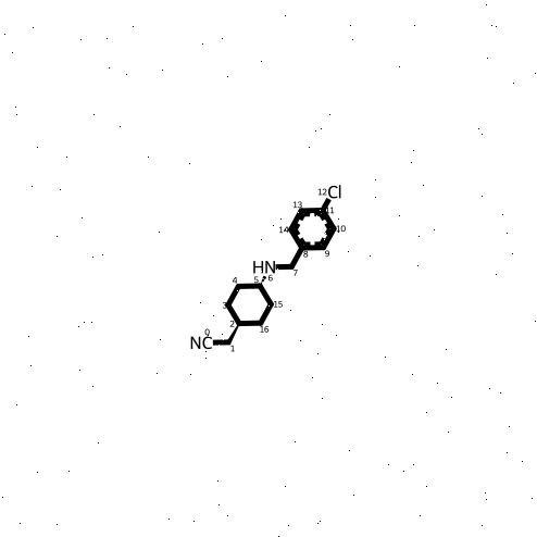 N#CC[C@H]1CC[C@H](NCc2ccc(Cl)cc2)CC1